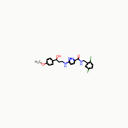 COc1ccc(C(O)CCNc2ccc(C(=O)NCc3cc(F)ccc3F)nn2)cc1